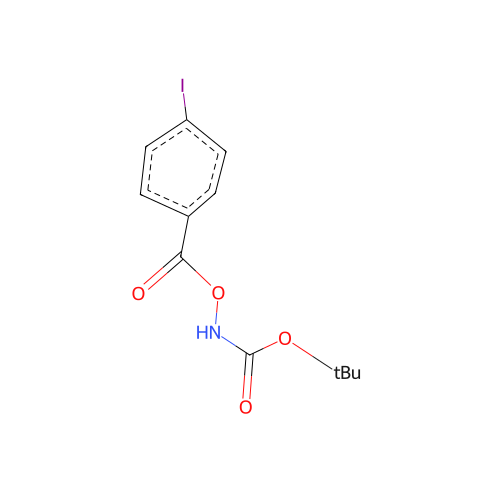 CC(C)(C)OC(=O)NOC(=O)c1ccc(I)cc1